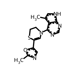 Cc1ncc(C2=CN(c3ncnc4[nH]cc(C)c34)CCS2)o1